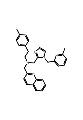 Cc1ccc(CCN(Cc2ccc3ccccc3n2)Cc2nncn2Cc2cccc(C)n2)cc1